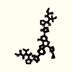 COC(=O)NC(C(=O)N1CCC[C@H]1c1ncc(-c2cc(F)c3c(c2)OC(c2ccc(C4CC4)s2)n2c-3cc3cc(-c4cnc([C@@H]5CCCN5C(=O)[C@@H](NC(=O)OC)C(C)C)[nH]4)ccc32)[nH]1)C(C)(C)F